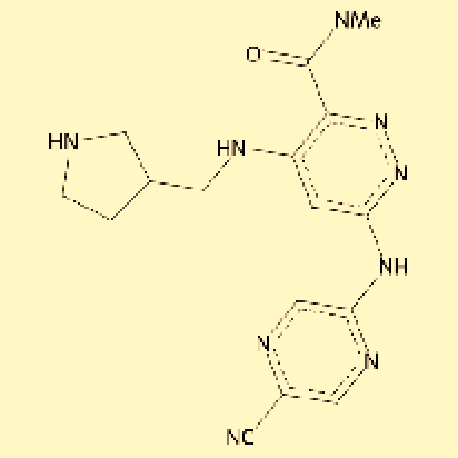 CNC(=O)c1nnc(Nc2cnc(C#N)cn2)cc1NCC1CCNC1